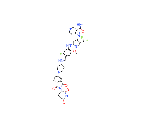 CNC(=O)c1cnccc1Nc1cc(Nc2cc(F)c(CNC3CCN(c4ccc5c(c4)C(=O)N(C4CCC(=O)NC4=O)C5=O)CC3)cc2OC)ncc1C(F)(F)F